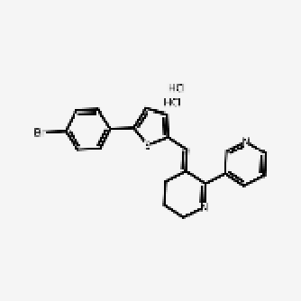 Brc1ccc(-c2ccc(C=C3CCCN=C3c3cccnc3)s2)cc1.Cl.Cl